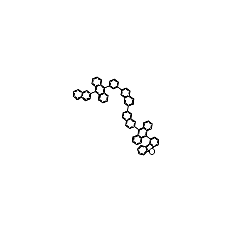 c1cc(-c2ccc3ccc(-c4ccc5ccc(-c6c7ccccc7c(-c7cccc8oc9ccccc9c78)c7ccccc67)cc5c4)cc3c2)cc(-c2c3ccccc3c(-c3ccc4ccccc4c3)c3ccccc23)c1